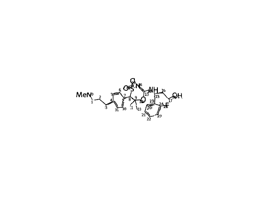 CNCCCc1ccc(C2C(C)(C)OC(N[C@@H](CCO)c3ccccc3F)=NS2(=O)=O)cc1